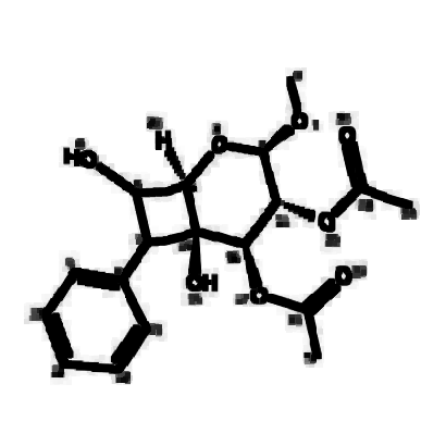 CO[C@@H]1O[C@@H]2C(O)C(c3ccccc3)[C@@]2(O)[C@H](OC(C)=O)[C@H]1OC(C)=O